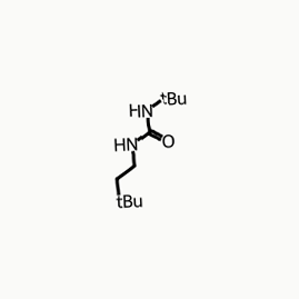 CC(C)(C)CCNC(=O)NC(C)(C)C